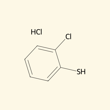 Cl.Sc1ccccc1Cl